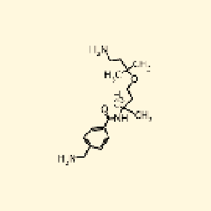 CC(C)(CCOC(C)(C)CCN)NC(=O)c1ccc(CN)cc1